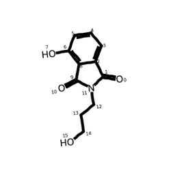 O=C1c2cccc(O)c2C(=O)N1CCCO